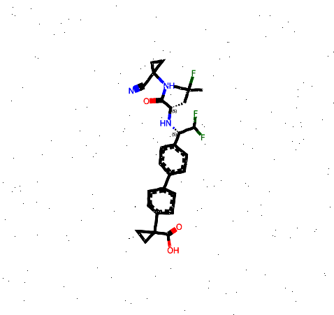 CC(C)(F)C[C@H](N[C@@H](c1ccc(-c2ccc(C3(C(=O)O)CC3)cc2)cc1)C(F)F)C(=O)NC1(C#N)CC1